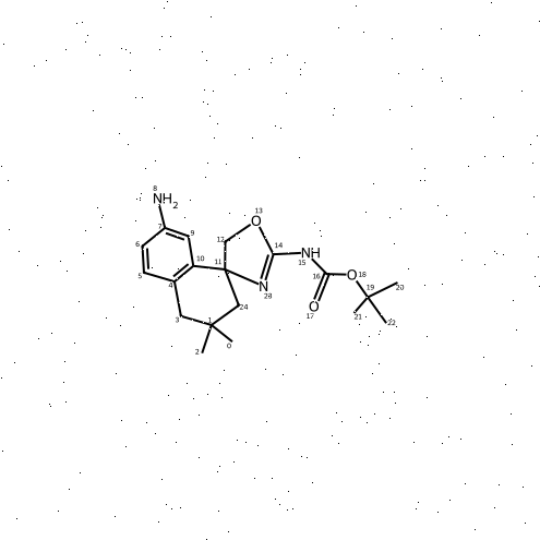 CC1(C)Cc2ccc(N)cc2C2(COC(NC(=O)OC(C)(C)C)=N2)C1